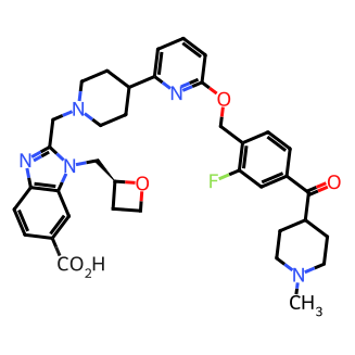 CN1CCC(C(=O)c2ccc(COc3cccc(C4CCN(Cc5nc6ccc(C(=O)O)cc6n5C[C@@H]5CCO5)CC4)n3)c(F)c2)CC1